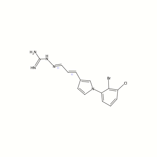 N=C(N)N/N=C/C=C/c1ccn(-c2cccc(Cl)c2Br)c1